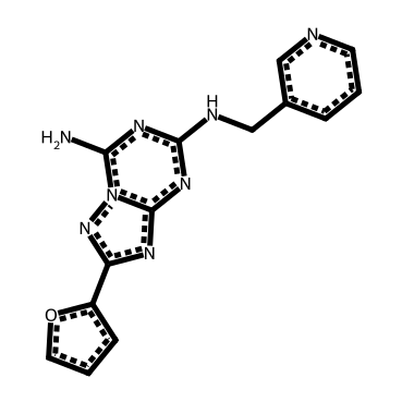 Nc1nc(NCc2cccnc2)nc2nc(-c3ccco3)nn12